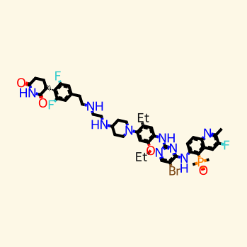 CCOc1cc(N2CCC(NCCNCCc3cc(F)c([C@H]4CCC(=O)NC4=O)c(F)c3)CC2)c(CC)cc1Nc1ncc(Br)c(Nc2ccc3nc(C)c(F)cc3c2P(C)(C)=O)n1